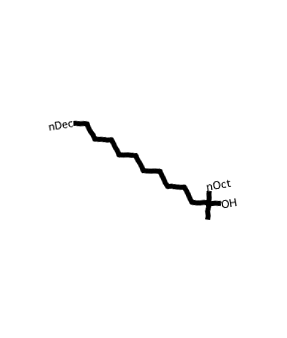 CCCCCCCCCCCCCCCCCCCCC(C)(O)CCCCCCCC